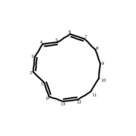 [C]1=C/C=C\C=C\C=C/CCCC\C=C/1